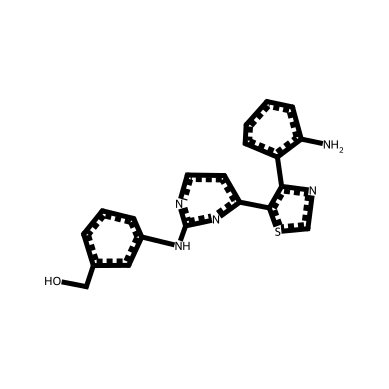 Nc1ccccc1-c1ncsc1-c1ccnc(Nc2cccc(CO)c2)n1